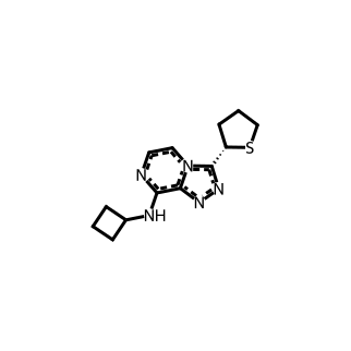 c1cn2c([C@@H]3CCCS3)nnc2c(NC2CCC2)n1